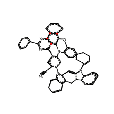 N#Cc1cc(-c2nc(-c3ccccc3)nc(-c3ccccc3)n2)c(N2c3ccccc3Oc3ccccc32)cc1-n1c2c(c3c1CCC=C3)CC1C(=C2)N(C2=CCCCC2)c2ccccc21